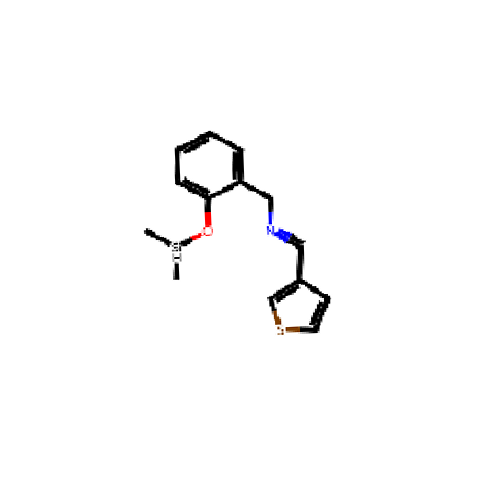 C[SiH](C)Oc1ccccc1CN=Cc1ccsc1